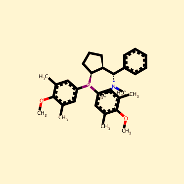 COc1c(C)cc(P(c2cc(C)c(OC)c(C)c2)[C@H]2CCC[C@H]2[C@H](c2ccccc2)N(C)C)cc1C